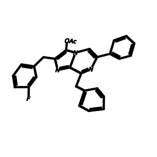 CC(=O)Oc1c(Cc2cccc(F)c2)nc2c(Cc3ccccc3)nc(-c3ccccc3)cn12